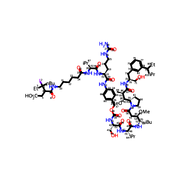 CCCCC(I)(CC)C(CC(=O)O)C(=O)NCCCCCC(=O)N[C@H](C(=O)N[C@@H](CCCNC(N)=O)C(=O)Nc1ccc(COC(=O)N[C@@H](CO)C(=O)N[C@H](C(=O)N[C@@H]([C@@H](C)CC)[C@@H](CC(=O)N2CCC[C@H]2[C@H](OC)[C@@H](C)C(=O)N[C@H](CO)Cc2cccc(C(CC)CCC)c2)OC)C(C)C)cc1)C(C)C